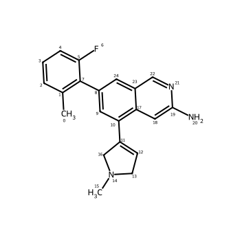 Cc1cccc(F)c1-c1cc(C2=CCN(C)C2)c2cc(N)ncc2c1